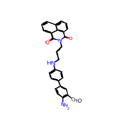 Nc1ccc(-c2ccc(NCCCN3C(=O)c4cccc5cccc(c45)C3=O)cc2)cc1C=O